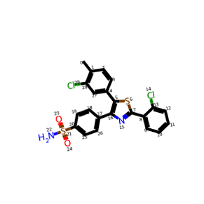 Cc1ccc(-c2sc(-c3ccccc3Cl)nc2-c2ccc(S(N)(=O)=O)cc2)cc1Cl